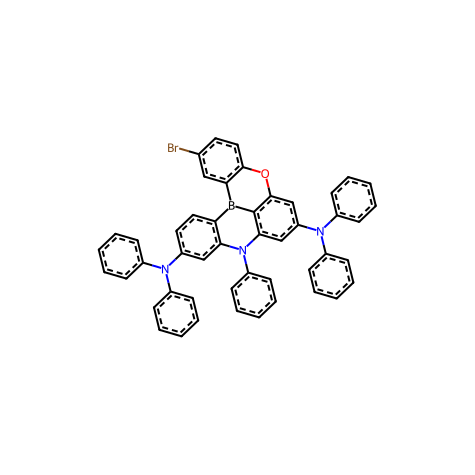 Brc1ccc2c(c1)B1c3ccc(N(c4ccccc4)c4ccccc4)cc3N(c3ccccc3)c3cc(N(c4ccccc4)c4ccccc4)cc(c31)O2